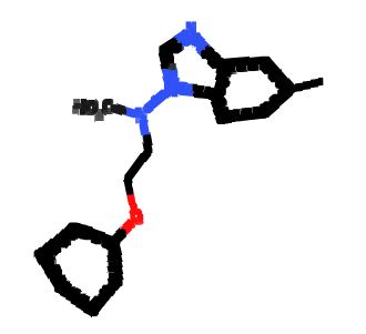 Cc1ccc2c(c1)ncn2N(CCOc1ccccc1)C(=O)O